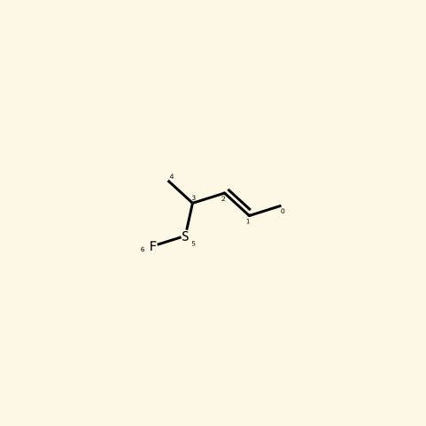 CC=CC(C)SF